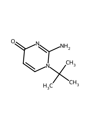 CC(C)(C)n1ccc(=O)nc1N